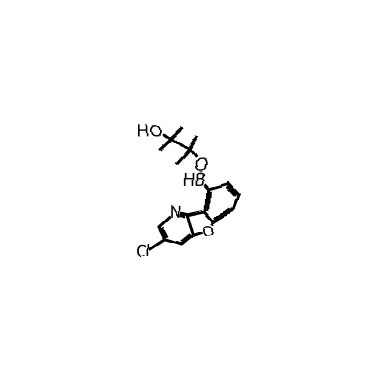 CC(C)(O)C(C)(C)OBc1cccc2oc3cc(Cl)cnc3c12